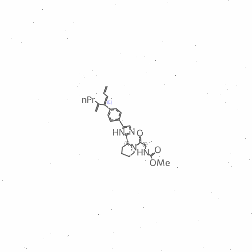 C=C/C=C(\C(=C)CCC)c1ccc(-c2cnc([C@@H]3CCCCN3C(=O)[C@H](C)NC(=O)OC)[nH]2)cc1